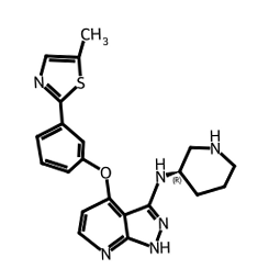 Cc1cnc(-c2cccc(Oc3ccnc4[nH]nc(N[C@@H]5CCCNC5)c34)c2)s1